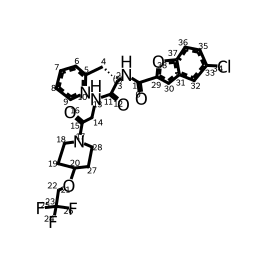 O=C(N[C@@H](Cc1ccccn1)C(=O)NCC(=O)N1CCC(OCC(F)(F)F)CC1)c1cc2cc(Cl)ccc2o1